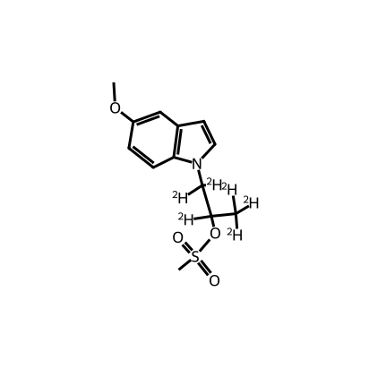 [2H]C([2H])([2H])C([2H])(OS(C)(=O)=O)C([2H])([2H])n1ccc2cc(OC)ccc21